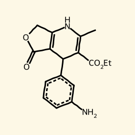 CCOC(=O)C1=C(C)NC2=C(C(=O)OC2)C1c1cccc(N)c1